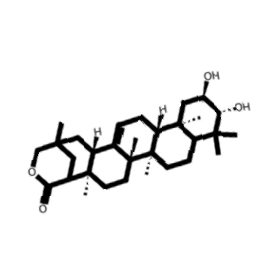 CC12COC(=O)C(C1)[C@]1(C)CC[C@]3(C)C(=CC[C@@H]4[C@@]5(C)C[C@@H](O)[C@H](O)C(C)(C)C5CC[C@]43C)[C@H]1C2